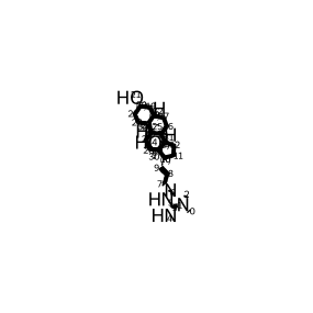 CN(C)C(=N)NN=CC=C[C@H]1CC[C@]2(O)[C@@H]3CC[C@@H]4C[C@@H](O)CC[C@]4(C)[C@H]3CC[C@]12C